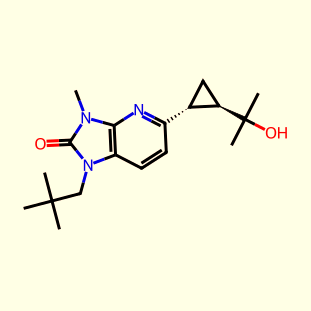 Cn1c(=O)n(CC(C)(C)C)c2ccc([C@@H]3C[C@H]3C(C)(C)O)nc21